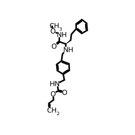 C=CCOC(=O)NCc1ccc(CN[C@H](CCc2ccccc2)C(=O)NOC)cc1